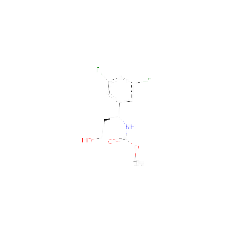 CC(C)(C)OC(=O)N[C@@H](CCO)c1cc(F)cc(F)c1